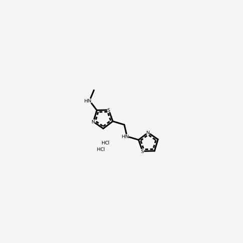 CNc1ncc(CNc2nccs2)s1.Cl.Cl